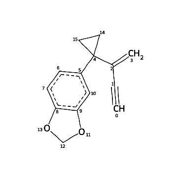 C#CC(=C)C1(c2ccc3c(c2)OCO3)CC1